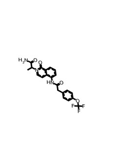 CC(C(N)=O)n1ccc2c(NC(=O)Cc3ccc(OC(F)(F)F)cc3)cccc2c1=O